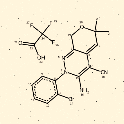 CC1(C)C=C2C(=NN(c3ccccc3Br)C(N)=C2C#N)CO1.O=C(O)C(F)(F)F